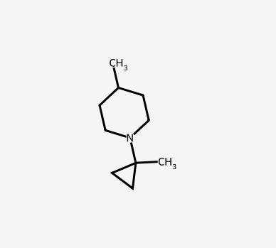 CC1CCN(C2(C)CC2)CC1